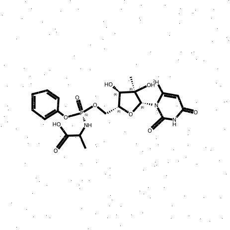 [2H]c1cc(=O)[nH]c(=O)n1[C@@H]1O[C@H](CO[P@@](=O)(NC(C)C(=O)O)Oc2ccccc2)[C@@H](O)[C@@]1(C)O